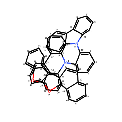 c1ccc(N(c2ccccc2-n2c3ccccc3c3ccccc32)c2cccc3oc4ccccc4c23)c(-c2cccc3oc4c5ccccc5ccc4c23)c1